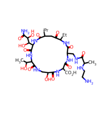 CCC1NC(=O)C(CNC(=O)C(C)NCCN)NC(=O)C(C(=O)O)NC(=O)C(O)CNC(=O)C(C(C)O)NC(=O)C(C(O)C(O)C(N)=O)NC(=O)C(C(C)C)CC1=O